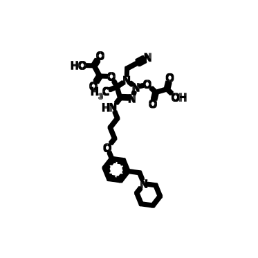 CC1(OC(=O)C(=O)O)C(NCCCOc2cccc(CN3CCCCC3)c2)=NN(OC(=O)C(=O)O)N1CC#N